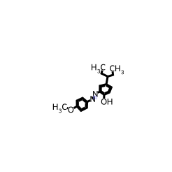 CCC(CC)c1ccc(O)c(/N=N/c2ccc(OC)cc2)c1